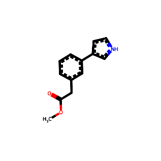 COC(=O)Cc1cccc(-c2cc[nH]c2)c1